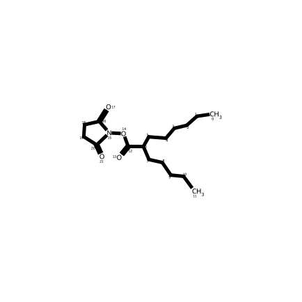 CCCCCCC(CCCCC)C(=O)ON1C(=O)CCC1=O